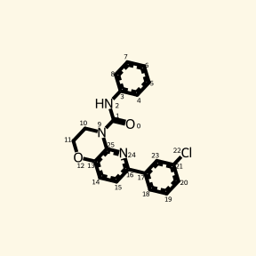 O=C(Nc1ccccc1)N1CCOc2ccc(-c3cccc(Cl)c3)nc21